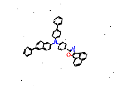 c1ccc(-c2ccc(N(c3ccc(-c4nc5c(o4)-c4cccc6cccc-5c46)cc3)c3ccc4cc(-c5ccccc5)ccc4c3)cc2)cc1